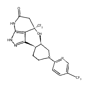 C[C@H]1CN(c2ccc(C(F)(F)F)cn2)CC[C@H]1c1n[nH]c2c1[C@@](O)(C(F)(F)F)CC(=O)N2